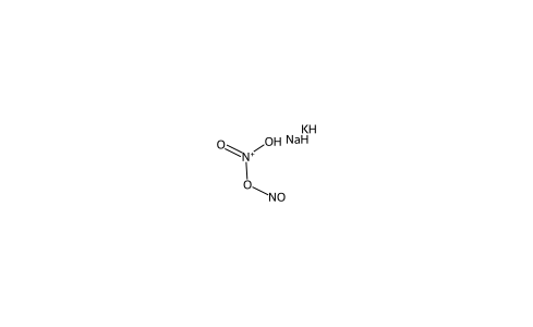 O=NO[N+](=O)O.[KH].[NaH]